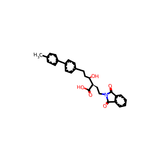 Cc1ccc(-c2ccc(CC[C@@H](O)[C@@H](CCN3C(=O)c4ccccc4C3=O)C(=O)O)cc2)cc1